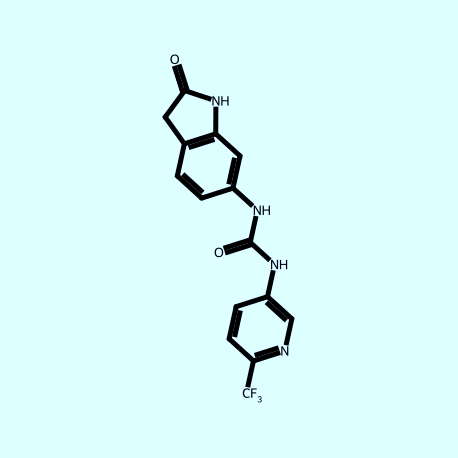 O=C1Cc2ccc(NC(=O)Nc3ccc(C(F)(F)F)nc3)cc2N1